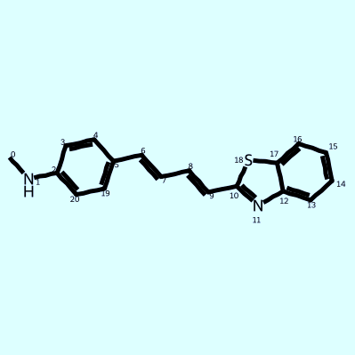 CNc1ccc(C=CC=Cc2nc3ccccc3s2)cc1